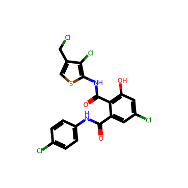 O=C(Nc1ccc(Cl)cc1)c1cc(Cl)cc(O)c1C(=O)Nc1scc(CCl)c1Cl